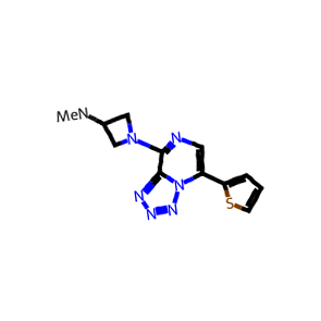 CNC1CN(c2ncc(-c3cccs3)n3nnnc23)C1